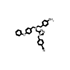 Bc1ccc(CCN(Cc2ccc(Oc3ccccc3)cc2)Cc2nncn2Cc2ccc(C#N)cc2)cc1